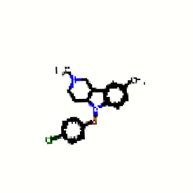 Cc1ccc2c(c1)C1CN(C)CCC1N2Sc1ccc(Cl)cc1